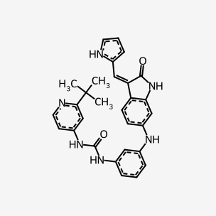 CC(C)(C)c1cc(NC(=O)Nc2cccc(Nc3ccc4c(c3)NC(=O)/C4=C\c3ccc[nH]3)c2)ccn1